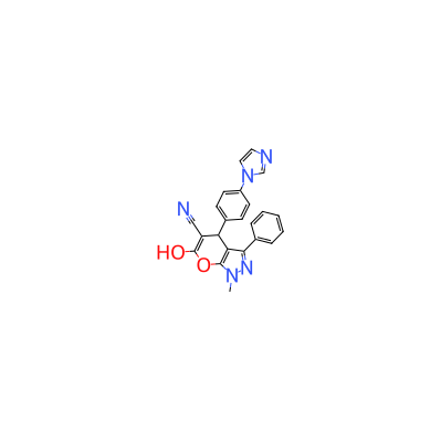 Cn1nc(-c2ccccc2)c2c1OC(O)=C(C#N)C2c1ccc(-n2ccnc2)cc1